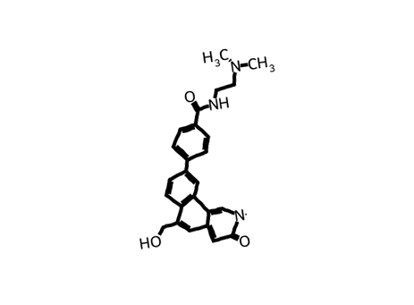 CN(C)CCNC(=O)c1ccc(-c2ccc3c(CO)cc4c(c3c2)=C[N]C(=O)C=4)cc1